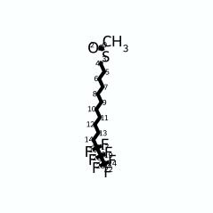 CC(=O)SCCCCCCCCCCCC(F)(F)C(F)(F)C(F)(F)F